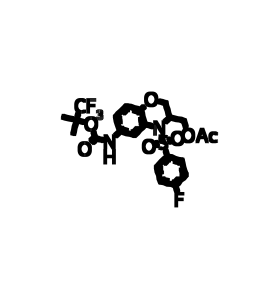 CC(=O)OCC1COc2ccc(NC(=O)OC(C)(C)C(F)(F)F)cc2N1S(=O)(=O)c1ccc(F)cc1